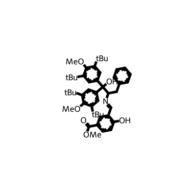 COC(=O)c1ccc(O)c(C=NC(Cc2ccccc2)C(O)(c2cc(C(C)(C)C)c(OC)c(C(C)(C)C)c2)c2cc(C(C)(C)C)c(OC)c(C(C)(C)C)c2)c1